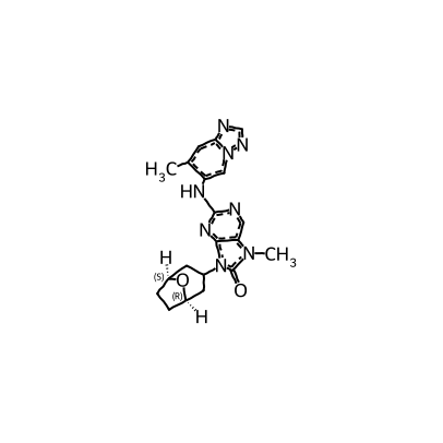 Cc1cc2ncnn2cc1Nc1ncc2c(n1)n(C1C[C@H]3CC[C@@H](C1)O3)c(=O)n2C